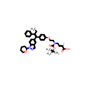 CCC(=C(c1ccc(OCCN(CC=C(F)C(=O)O)C(=O)OC(C)(C)C)cc1)c1ccc2c(cnn2C2CCCCO2)c1)c1ccccc1